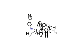 CCC(CCOC(=O)C1=C(C)NC(C)=C(C(=O)O)C1c1cccc([N+](=O)[O-])c1)OC/C=C/c1ccc(Cc2cccnc2)cc1